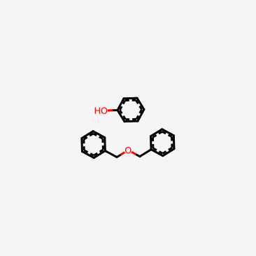 Oc1ccccc1.c1ccc(COCc2ccccc2)cc1